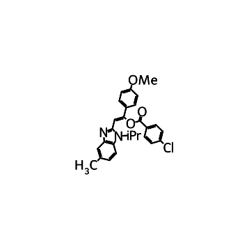 COc1ccc(C(=Cc2nc3cc(C)ccc3n2C(C)C)OC(=O)c2ccc(Cl)cc2)cc1